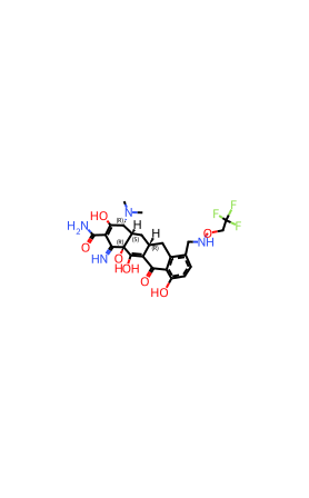 CN(C)[C@H]1C(O)=C(C(N)=O)C(=N)[C@@]2(O)C(O)=C3C(=O)c4c(O)ccc(CNOCC(F)(F)F)c4C[C@H]3C[C@@H]12